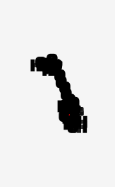 Cc1ccc(S(=O)(=O)N2CC[C@@H]3[C@H](CO)Nc4ccc(-c5cccc(NC(=O)COCCOCCOCCOCCOCCNc6cccc7c6CN(C6CCC(=O)NC6=O)C7=O)c5)cc4[C@@H]32)cc1